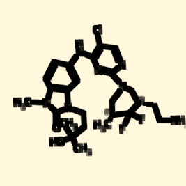 C[C@@H]1CN(c2ncc(Cl)c(Nc3ccc4c(c3)n(CCC(C)(C)O)c(=O)n4C)n2)C[C@H](CCN)C1(F)F